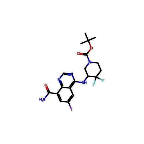 CC(C)(C)OC(=O)N1CCC(F)(F)C(Nc2ncnc3c(C(N)=O)cc(I)cc23)C1